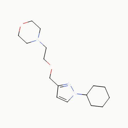 c1cn(C2CCCCC2)nc1COCCN1CCOCC1